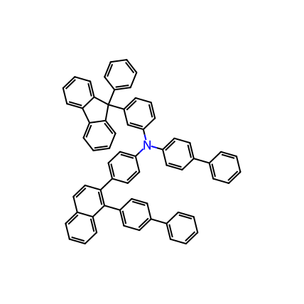 c1ccc(-c2ccc(-c3c(-c4ccc(N(c5ccc(-c6ccccc6)cc5)c5cccc(C6(c7ccccc7)c7ccccc7-c7ccccc76)c5)cc4)ccc4ccccc34)cc2)cc1